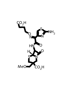 COCC1(C(=O)O)CS[C@@H]2C(NC(=O)C(=NOCCCC(=O)O)c3csc(N)n3)C(=O)N2C1